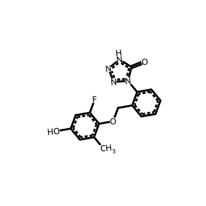 Cc1cc(O)cc(F)c1OCc1ccccc1-n1nn[nH]c1=O